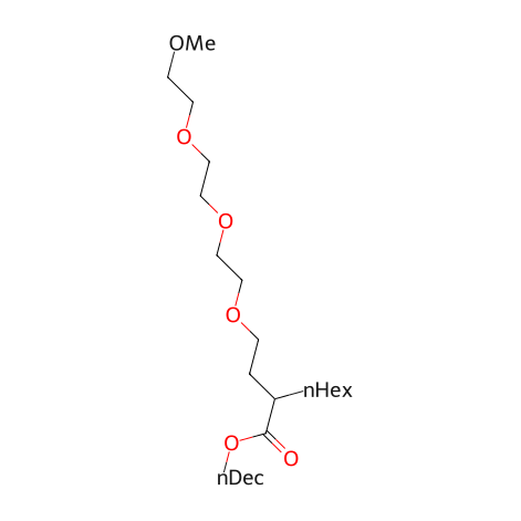 CCCCCCCCCCOC(=O)C(CCCCCC)CCOCCOCCOCCOC